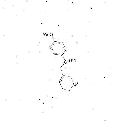 COc1ccc(OCC2=CCCNC2)cc1.Cl